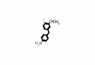 COc1cc(Cc2ccc(N)cc2)ccc1F